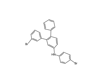 Brc1ccc(Nc2ccc(-c3ccccc3)c(-c3cccc(Br)c3)c2)cc1